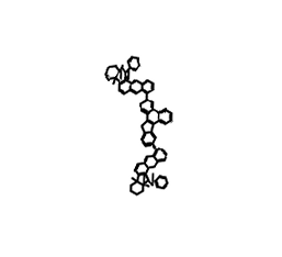 CC12CCCCC1(C)N(c1ccccc1)c1c2ccc2cc3c(-c4ccc5c(c4)-c4c(c6ccc(-c7cccc8cc9c%10c(ccc9cc78)C7(C)CCCCC7(C)N%10c7ccccc7)cc6c6ccccc46)C5)cccc3cc12